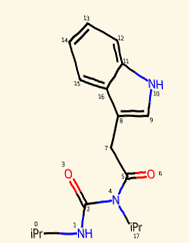 CC(C)NC(=O)N(C(=O)Cc1c[nH]c2ccccc12)C(C)C